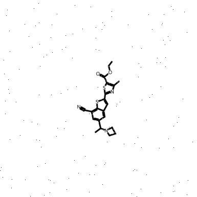 CCOC(=O)c1sc(-c2cc3cc(C(C)N4CCC4)cc(C#N)c3s2)nc1C